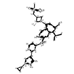 CC(C)c1c(F)cc(N2C[C@H](CS(C)(=O)=O)[C@H]2C)c2cnc(Nc3ccnc(-c4cnn(C5CC5)c4)n3)cc12